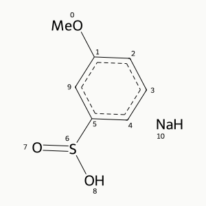 COc1cccc(S(=O)O)c1.[NaH]